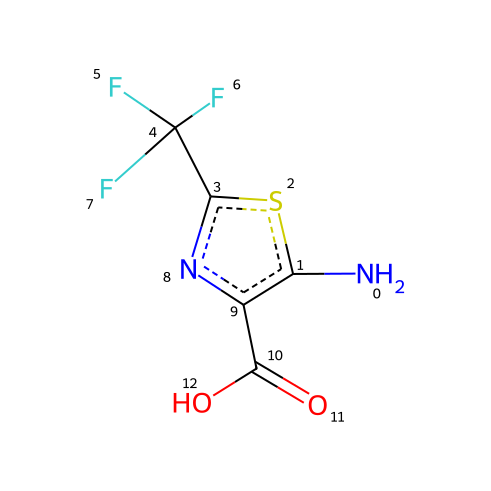 Nc1sc(C(F)(F)F)nc1C(=O)O